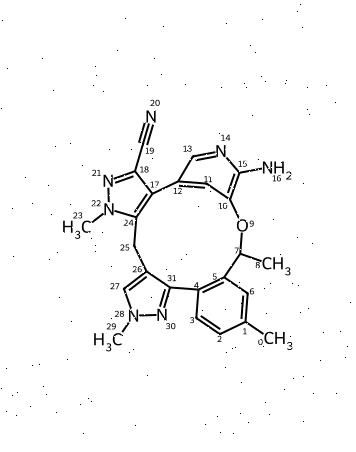 Cc1ccc2c(c1)C(C)Oc1cc(cnc1N)-c1c(C#N)nn(C)c1Cc1cn(C)nc1-2